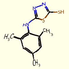 Cc1cc(C)c(Nc2nnc(S)s2)c(C)c1